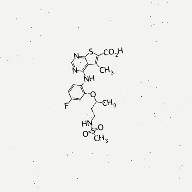 Cc1c(C(=O)O)sc2ncnc(Nc3ccc(F)cc3OC(C)CCNS(C)(=O)=O)c12